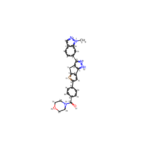 Cn1ncc2ccc(-c3n[nH]c4c3Cc3sc(-c5ccc(C(=O)N6CCOCC6)cc5)cc3-4)cc21